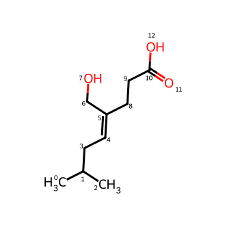 CC(C)CC=C(CO)CCC(=O)O